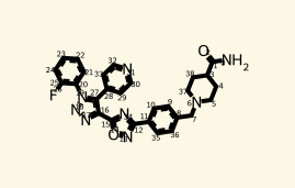 NC(=O)C1CCN(Cc2ccc(-c3noc(-c4nnn(-c5ccccc5F)c4-c4ccncc4)n3)cc2)CC1